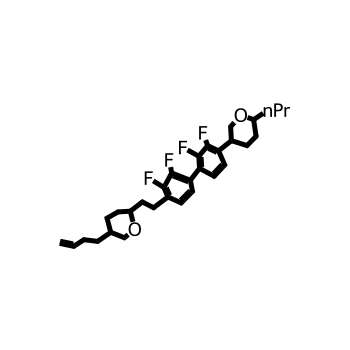 C=CCCC1CCC(CCc2ccc(-c3ccc(C4CCC(CCC)OC4)c(F)c3F)c(F)c2F)OC1